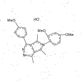 COc1ccc(-c2nnc(C)c3c(C)n(-c4ccc(OC)cc4OC)c(C)c23)cc1.Cl